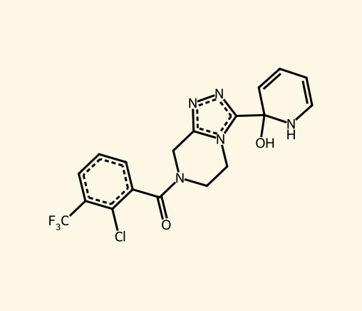 O=C(c1cccc(C(F)(F)F)c1Cl)N1CCn2c(nnc2C2(O)C=CC=CN2)C1